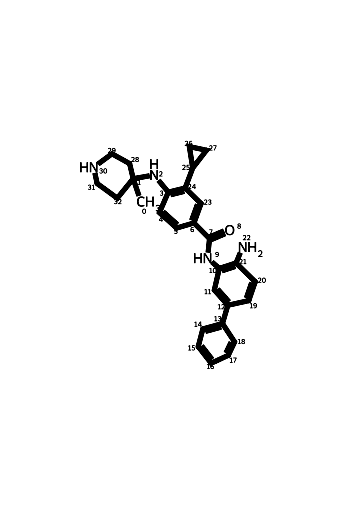 CC1(Nc2ccc(C(=O)Nc3cc(-c4ccccc4)ccc3N)cc2C2CC2)CCNCC1